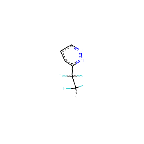 FC(F)(F)C(F)(F)C(F)(F)c1c[c]cnn1